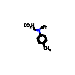 CCCN(CC(=O)O)c1ccc(C)cc1